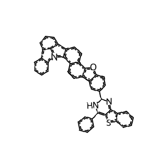 c1ccc(C2=c3sc4ccccc4c3=NC(c3ccc4oc5c(ccc6c5ccc5c7cccc8c9ccccc9n(c65)c87)c4c3)N2)cc1